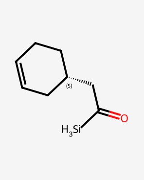 O=C([SiH3])C[C@@H]1CC=CCC1